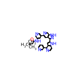 CC(C)(C)CC(=O)Nc1cncc(-c2cc3c(-c4cc5c(-c6cccnc6)nccc5[nH]4)n[nH]c3cn2)c1